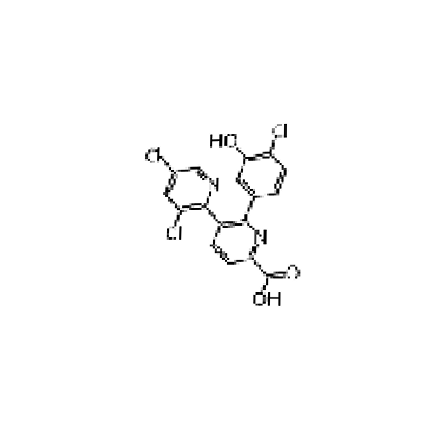 O=C(O)c1ccc(-c2ncc(Cl)cc2Cl)c(-c2ccc(Cl)c(O)c2)n1